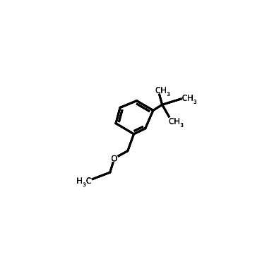 CCOCc1cccc(C(C)(C)C)c1